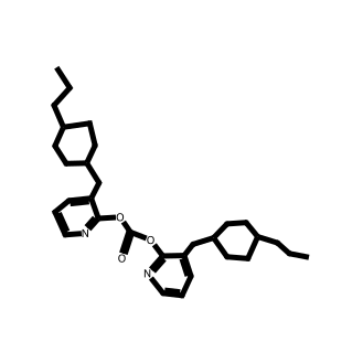 CCCC1CCC(Cc2cccnc2OC(=O)Oc2ncccc2CC2CCC(CCC)CC2)CC1